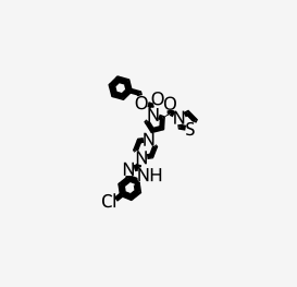 O=C([C@@H]1C[C@H](N2CCN(c3nc4cc(Cl)ccc4[nH]3)CC2)CN1C(=O)OCc1ccccc1)N1CCSC1